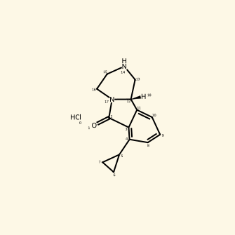 Cl.O=C1c2c(C3CC3)cccc2[C@H]2CNCCN12